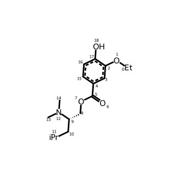 CCOc1cc(C(=O)OC[C@H](CC(C)C)N(C)C)ccc1O